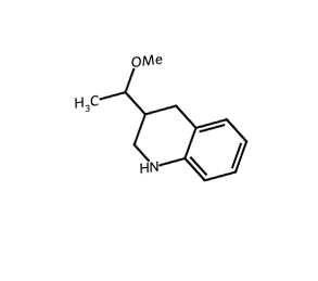 COC(C)C1CNc2ccccc2C1